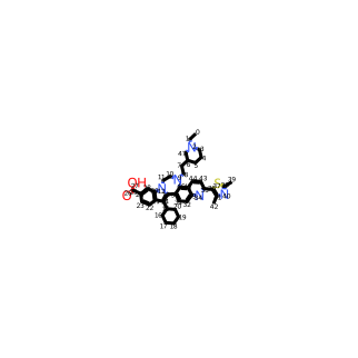 CCN1CCCC(CCN2CCn3c(c(C4CCCCC4)c4ccc(C(=O)O)cc43)-c3ccc4nc(-c5sc(C)nc5C)ccc4c32)C1